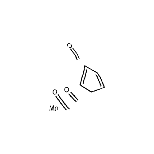 C1=CCC=C1.[C]=O.[C]=O.[C]=O.[Mn]